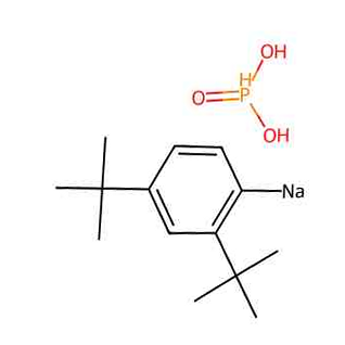 CC(C)(C)c1cc[c]([Na])c(C(C)(C)C)c1.O=[PH](O)O